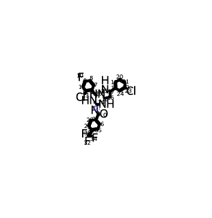 O=C(/N=C(/NCc1ccc(F)cc1Cl)NC1CC(c2cccc(Cl)c2)NN1)c1ccc(C(F)(F)F)cc1